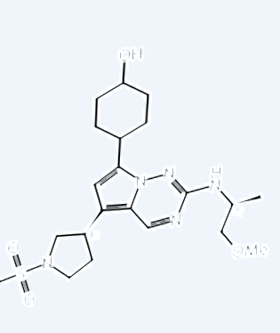 COC[C@H](C)Nc1ncc2c([C@H]3CCN(S(C)(=O)=O)C3)cc(C3CCC(O)CC3)n2n1